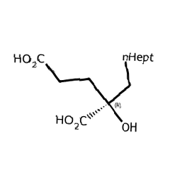 CCCCCCCC[C@@](O)(CCC(=O)O)C(=O)O